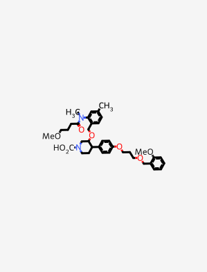 COCCCC(=O)N(C)c1cc(C)ccc1COC1CN(C(=O)O)CCC1c1ccc(OCCCOCc2ccccc2OC)cc1